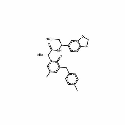 CCCC[C@H](C(=O)N[C@@H](CC(=O)O)c1ccc2c(c1)OCO2)n1cc(C)cc(Cc2ccc(C)cc2)c1=O